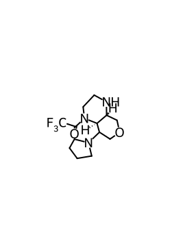 O=C(N1CCN[C@@H]2COCC(N3CCCC3)[C@H]21)C(F)(F)F